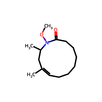 CON1C(=O)CCCCCCC=C(C)CC1C